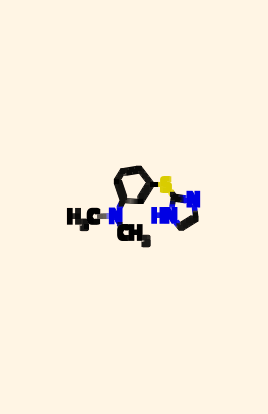 CN(C)c1cccc(Sc2ncc[nH]2)c1